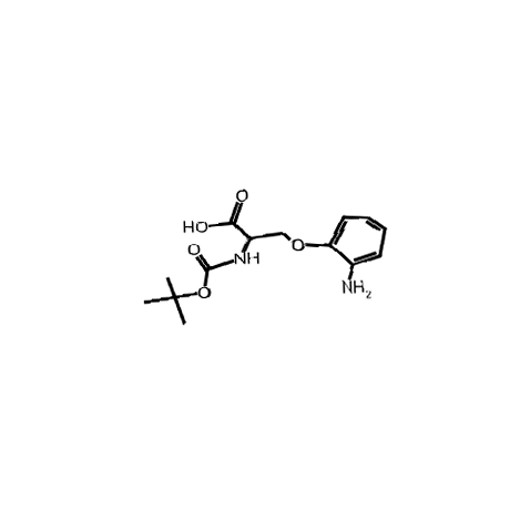 CC(C)(C)OC(=O)NC(COc1ccccc1N)C(=O)O